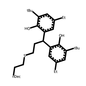 CCCCCCCCCCCCSCCC(c1cc(CC)cc(C(C)(C)C)c1O)c1cc(CC)cc(C(C)(C)C)c1O